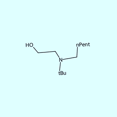 CCCCCCN(CCO)C(C)(C)C